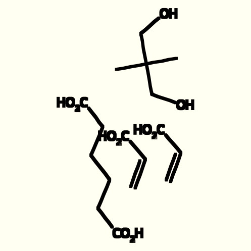 C=CC(=O)O.C=CC(=O)O.CC(C)(CO)CO.O=C(O)CCCCC(=O)O